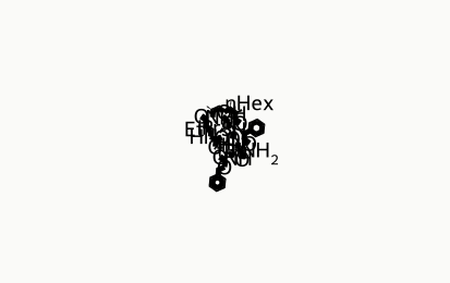 CCCCCC[C@@H](OC[C@@H](C)NC(=O)[C@@H](CC)CNC(=O)OC(C)(C)C)[C@@H](C)C(=O)N(C)[Si@@H](CC(C)C)C(=O)N[C@H](C(=O)N[C@@H](CNC(=O)OCc1ccccc1)C(N)=O)C1CCCCC1